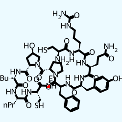 CCC[C@H](NC(=O)[C@@H](NC(=O)[C@@H]1C[C@@H](O)CN1C(=O)[C@@H]1CCCN1C(=O)[C@H](Cc1ccccc1)NC(=O)[C@H](Cc1ccc(O)cc1)NC(=O)[C@H](CCC(N)=O)NC(=O)[C@H](CCCNC(N)=O)NC(=O)[C@@H](N)CS)[C@@H](C)CC)C(=O)N[C@@H](CS)C(=O)NCC